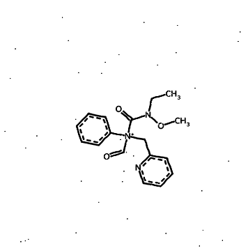 CCN(OC)C(=O)[N+]([C]=O)(Cc1ccccn1)c1ccccc1